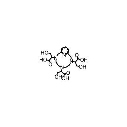 O=C(O)C(CO)N1CCN(C(CO)C(=O)O)Cc2cccc(n2)CN(C(CO)C(=O)O)CC1